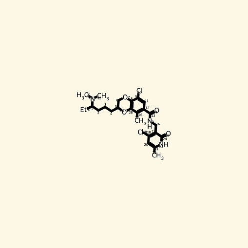 CCC(CCCC1COc2c(Cl)cc(C(=O)NCc3c(Cl)cc(C)[nH]c3=O)c(C)c2O1)N(C)C